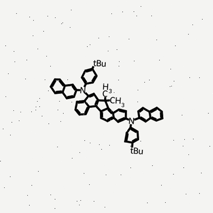 CC(C)(C)c1ccc(N(c2ccc3ccccc3c2)c2ccc3c4c(ccc3c2)-c2c(cc(N(c3ccc(C(C)(C)C)cc3)c3ccc5ccccc5c3)c3ccccc23)C4(C)C)cc1